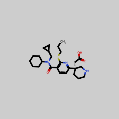 CCCSc1nc([C@]2(CC(=O)O)CCCNC2)ccc1C(=O)N(CC1CC1)C1CCCCC1